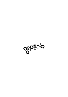 O=S(=O)(c1ccc2c(c1)OC(c1ccccc1)(c1ccccc1)O2)N1CCN(c2ccccc2F)CC1